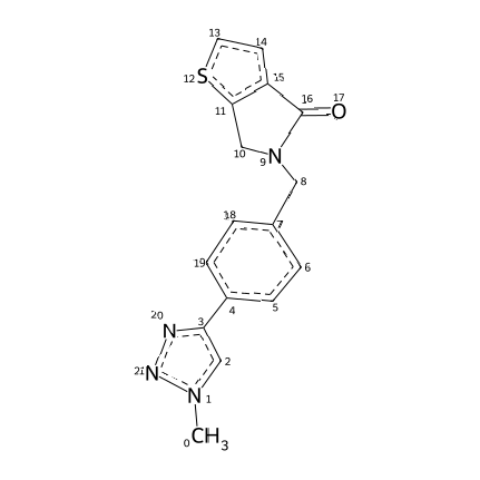 Cn1cc(-c2ccc(CN3Cc4sccc4C3=O)cc2)nn1